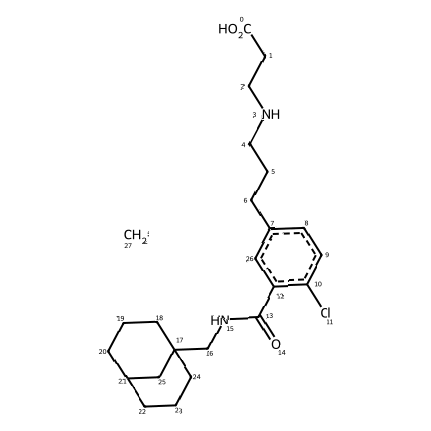 O=C(O)CCNCCCc1ccc(Cl)c(C(=O)NCC23CCCC(CCC2)C3)c1.[CH2]